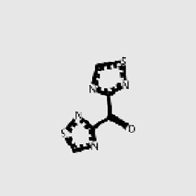 O=C(c1ncsn1)c1ncsn1